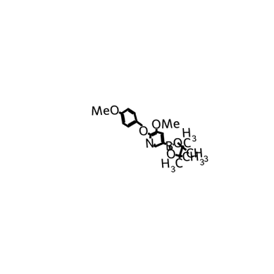 COc1ccc(COc2ncc(B3OC(C)(C)C(C)(C)O3)cc2OC)cc1